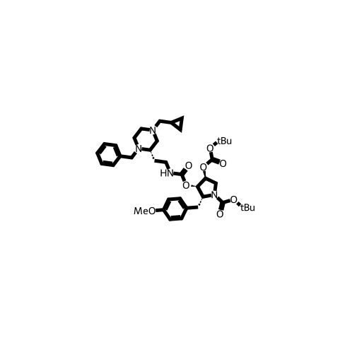 COc1ccc(C[C@@H]2[C@H](OC(=O)NCC[C@H]3CN(CC4CC4)CCN3Cc3ccccc3)[C@@H](OC(=O)OC(C)(C)C)CN2C(=O)OC(C)(C)C)cc1